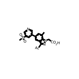 CC(=O)c1nn(CC(=O)O)c2c(C)cc(-c3cncc(S(C)(=O)=O)c3)cc12